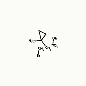 CC1(C)CC1.CCC.O=[N+]([O-])O